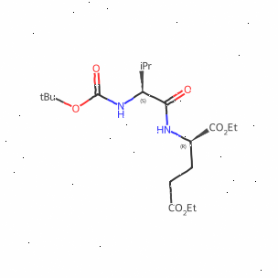 CCOC(=O)CC[C@@H](NC(=O)[C@@H](NC(=O)OC(C)(C)C)C(C)C)C(=O)OCC